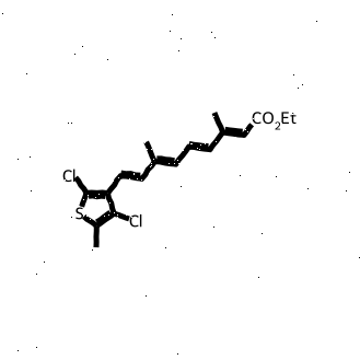 CCOC(=O)/C=C(C)/C=C/C=C(C)/C=C/c1c(Cl)sc(C)c1Cl